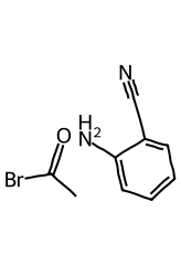 CC(=O)Br.N#Cc1ccccc1N